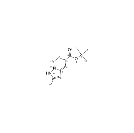 CC1=CC2=CN(C(=O)OC(C)(C)C)CCN2N1